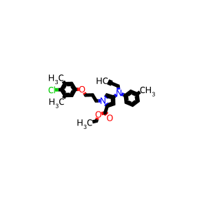 C#CCN(c1cccc(C)c1)c1cc(C(=O)OCC)n(CCCOc2cc(C)c(Cl)c(C)c2)c1